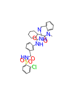 CN1C(=O)[C@@](NC(=O)Nc2cccc(C(=O)NS(=O)(=O)c3ccccc3Cl)c2)(C2CCCCC2)N=Cc2ccccc21